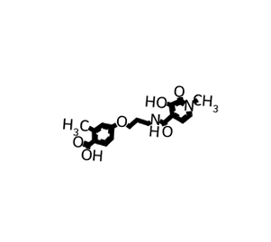 Cc1cc(OCCCNC(=O)c2ccn(C)c(=O)c2O)ccc1C(=O)O